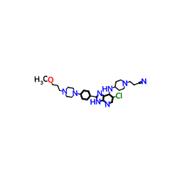 COCCCN1CCN(c2ccc(-c3nc4c(NC5CCN(CCC#N)CC5)c(Cl)cnc4[nH]3)cc2)CC1